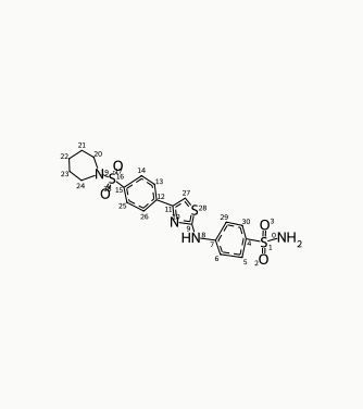 NS(=O)(=O)c1ccc(Nc2nc(-c3ccc(S(=O)(=O)N4CCCCC4)cc3)cs2)cc1